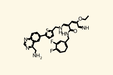 CCO/C(C=N)=C/C(=C/NCc1ccc(-c2ccc3ncnc(CN)c3c2)s1)C(=O)NCC1=CCC=C(F)C(F)=C1